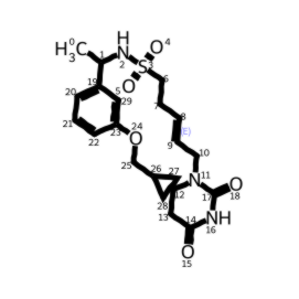 CC(NS(=O)(=O)CC/C=C/CN1CCC(=O)NC1=O)c1cccc(OCC2CC2)c1